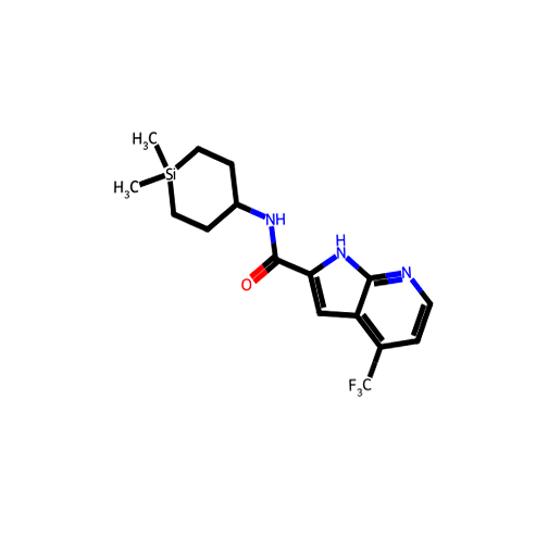 C[Si]1(C)CCC(NC(=O)c2cc3c(C(F)(F)F)ccnc3[nH]2)CC1